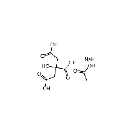 CC(=O)O.O=C(O)CC(O)(CC(=O)O)C(=O)O.[NaH]